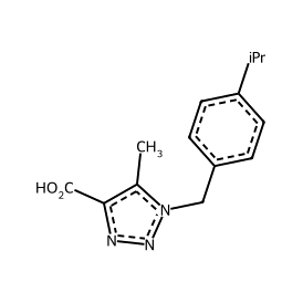 Cc1c(C(=O)O)nnn1Cc1ccc(C(C)C)cc1